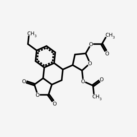 CCc1ccc2c(c1)C1C(=O)OC(=O)C1CC2C1CC(OC(C)=O)OC1OC(C)=O